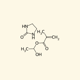 C=C(C)C(=O)OC(C)O.O=C1NCCN1